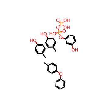 Cc1ccc(O)cc1.Cc1ccc(O)cc1.Cc1ccc(Oc2ccccc2)cc1.O=P(O)(O)OP(=O)(O)Oc1cccc(O)c1